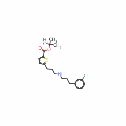 CC(C)(C)OC(=O)c1ccc(CCCNCCCc2cccc(Cl)c2)s1